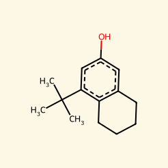 CC(C)(C)c1cc(O)cc2c1CCCC2